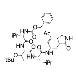 CC(=O)/C=C/[C@H](CC1CCNC1=O)NC(=O)[C@H](CC(C)C)NC(=O)[C@@H](NC(=O)[C@@H](NC(=O)OCc1ccccc1)C(C)C)C(C)OC(C)(C)C